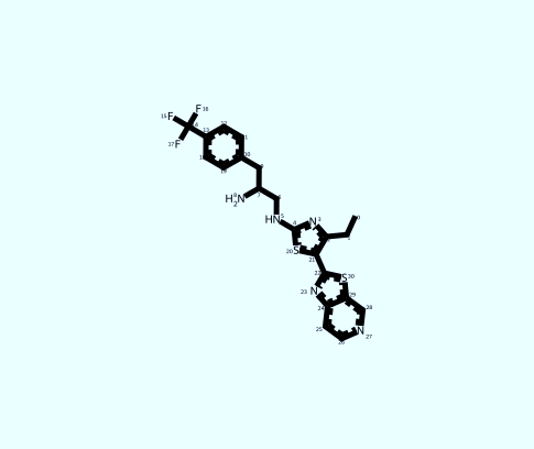 CCc1nc(NCC(N)Cc2ccc(C(F)(F)F)cc2)sc1-c1nc2ccncc2s1